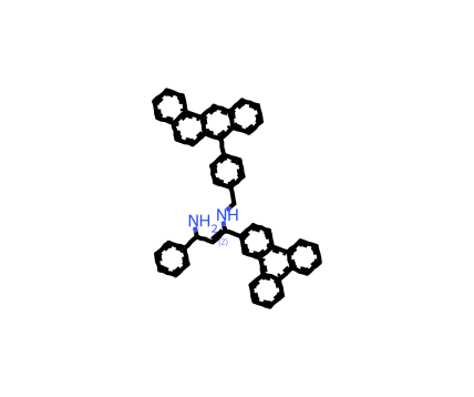 NC(/C=C(\NCc1ccc(-c2c3ccccc3cc3c2ccc2ccccc23)cc1)c1ccc2c3ccccc3c3ccccc3c2c1)c1ccccc1